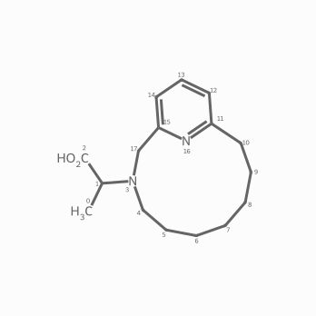 CC(C(=O)O)N1CCCCCCCc2cccc(n2)C1